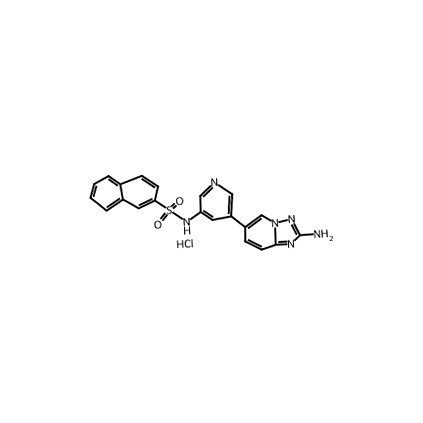 Cl.Nc1nc2ccc(-c3cncc(NS(=O)(=O)c4ccc5ccccc5c4)c3)cn2n1